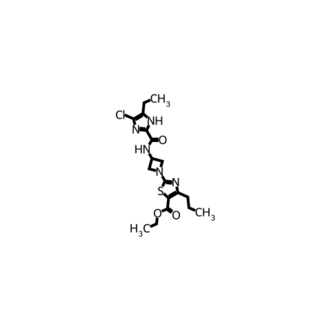 CCCc1nc(N2CC(NC(=O)c3nc(Cl)c(CC)[nH]3)C2)sc1C(=O)OCC